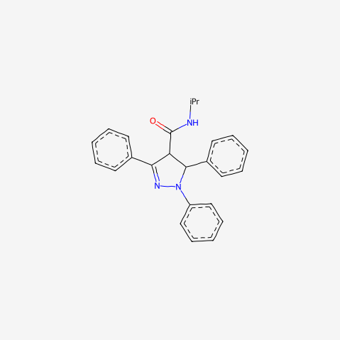 CC(C)NC(=O)C1C(c2ccccc2)=NN(c2ccccc2)C1c1ccccc1